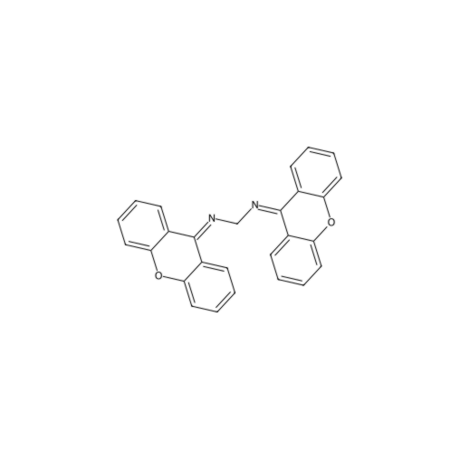 c1ccc2c(=NCN=c3c4ccccc4oc4ccccc34)c3ccccc3oc2c1